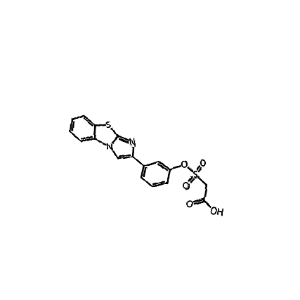 O=C(O)CS(=O)(=O)Oc1cccc(-c2cn3c(n2)sc2ccccc23)c1